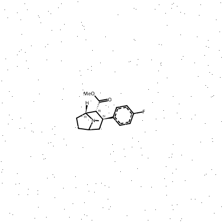 COC(=O)[C@@H]1[C@@H](c2ccc(F)cc2)CC2CC[C@H]1N2C